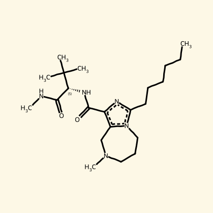 CCCCCCc1nc(C(=O)N[C@H](C(=O)NC)C(C)(C)C)c2n1CCCN(C)C2